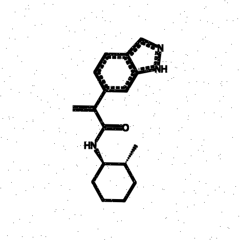 C=C(C(=O)N[C@@H]1CCCC[C@H]1C)c1ccc2cn[nH]c2c1